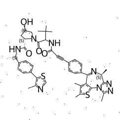 Cc1ncsc1-c1ccc([C@H](C)NC(=O)[C@@H]2C[C@@H](O)CN2C(=O)C(NC(=O)C#Cc2ccc(C3=N[C@@H](C)c4nnc(C)n4-c4sc(C)c(C)c43)cc2)C(C)(C)C)cc1